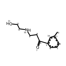 Cc1cccc(C(=O)CCNCCO)c1